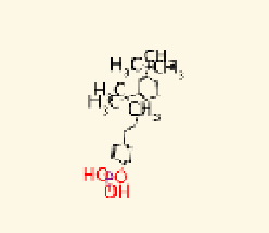 CC(C)(C)c1ccc(CCCCc2ccc(OP(O)O)cc2)c(C(C)(C)C)c1